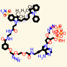 CC1(C)C(/C=C/C=C/C=C2/N(CCC(=O)NCCNC(=O)c3cccc(OCC(N=[N+]=[N-])OCCOCC(=O)NCC#Cc4cn(C5CC(OCN=[N+]=[N-])C(COP(=O)(O)OP(=O)(O)OP(=O)(O)O)O5)c5ncnc(N)c45)c3)c3ccc(S(N)(=O)=O)cc3C2(C)C)=[N+](c2ccccc2)c2ccccc21